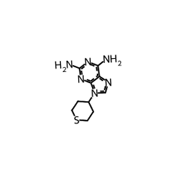 Nc1nc(N)c2ncn(C3CCSCC3)c2n1